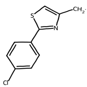 [CH2]c1csc(-c2ccc(Cl)cc2)n1